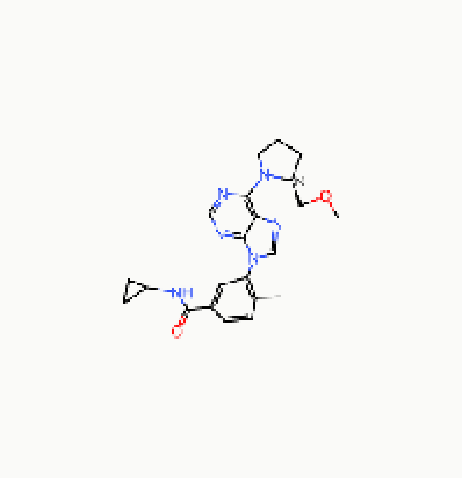 COC[C@@H]1CCCN1c1ncnc2c1ncn2-c1cc(C(=O)NC2CC2)ccc1C